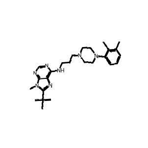 Cc1cccc(N2CCN(CCCNc3ncnc4c3nc(C(C)(C)C)n4C)CC2)c1C